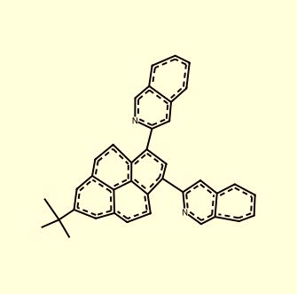 CC(C)(C)c1cc2ccc3c(-c4cc5ccccc5cn4)cc(-c4cc5ccccc5cn4)c4ccc(c1)c2c34